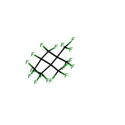 FC(F)(F)C1(F)C(F)(F)C(C(F)(F)F)(C(F)(F)F)C1(C(F)(F)F)C(F)(F)F